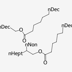 CCCCCCCCCCCCCCCC(=O)OCC(CCCCCCC)CCCCCCCCC.CCCCCCCCCCCCCCCC(=O)OCCCCCCCCCCC